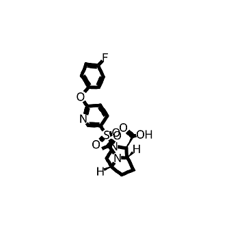 CC(=O)N1[C@@H]2CC[C@H]1[C@H](C(=O)O)N(S(=O)(=O)c1ccc(Oc3ccc(F)cc3)nc1)C2